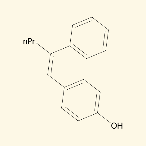 CCCC(=Cc1ccc(O)cc1)c1ccccc1